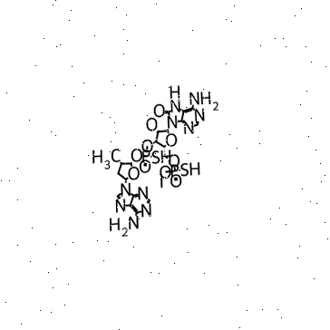 CC1C[C@H](n2cnc3c(N)ncnc32)O[C@@H]1OP(=O)(S)O[C@H]1C(=O)[C@H](n2c(=O)[nH]c3c(N)ncnc32)O[C@@H]1COP(=O)(S)OI